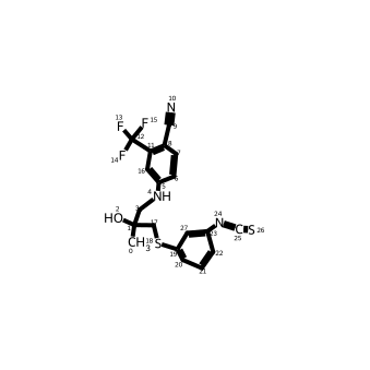 CC(O)(CNc1ccc(C#N)c(C(F)(F)F)c1)CSc1cccc(N=C=S)c1